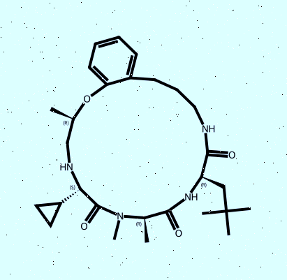 C[C@@H]1CN[C@@H](C2CC2)C(=O)N(C)[C@H](C)C(=O)N[C@H](CC(C)(C)C)C(=O)NCCCc2ccccc2O1